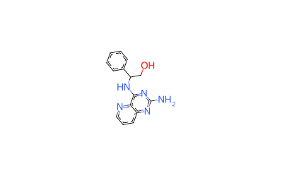 Nc1nc(NC(CO)c2ccccc2)c2ncccc2n1